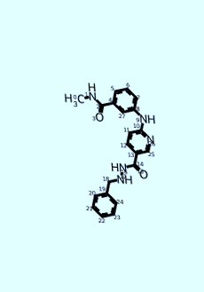 CNC(=O)c1cccc(Nc2ccc(C(=O)NNCc3ccccc3)cn2)c1